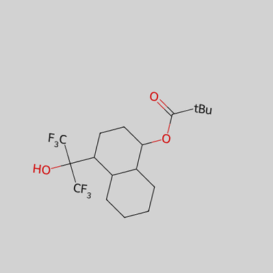 CC(C)(C)C(=O)OC1CCC(C(O)(C(F)(F)F)C(F)(F)F)C2CCCCC12